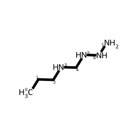 CCCNCNNN